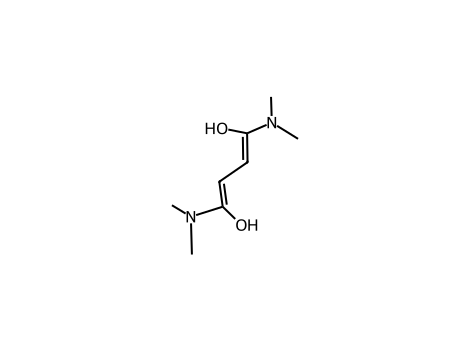 CN(C)/C(O)=C/C=C(\O)N(C)C